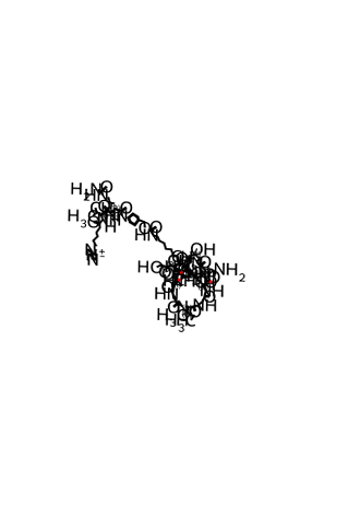 CC[C@@H](C)[C@@H]1NC(=O)CNC(=O)[C@H]2Cc3c([nH]c4cc(OCCCCCCNC(=O)OCc5ccc(NC(=O)[C@@H](CCCNC(N)=O)NC(=O)[C@H](NC(=O)CCCCCN=[N+]=[N-])C(C)C)cc5)ccc34)[S+]([O-])C[C@@H](NC(=O)CNC1=O)C(=O)N[C@@H](CC(N)=O)C(=O)N1C[C@H](O)C[C@H]1C(=O)N[C@@H]([C@@H](C)[C@H](O)CO)C(=O)N2